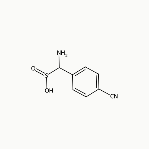 N#Cc1ccc(C(N)S(=O)O)cc1